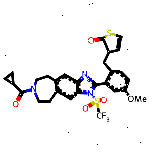 COc1ccc(CC2C=CSC2=O)c(-c2nc3cc4c(cc3n2S(=O)(=O)C(F)(F)F)CCN(C(=O)C2CC2)CC4)c1